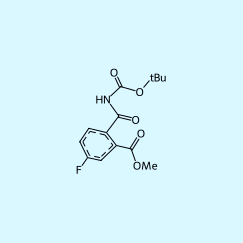 COC(=O)c1cc(F)ccc1C(=O)NC(=O)OC(C)(C)C